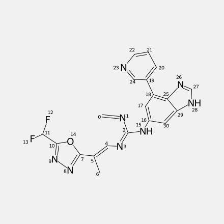 C=N/C(=N\C=C(/C)c1nnc(C(F)F)o1)Nc1cc(-c2cccnc2)c2nc[nH]c2c1